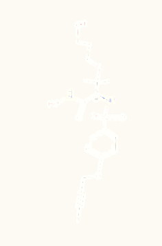 CC#CCOc1ccc(S(=O)(=O)N[C@@H](C(=O)NO)C(C)(C)SCCCO)cc1